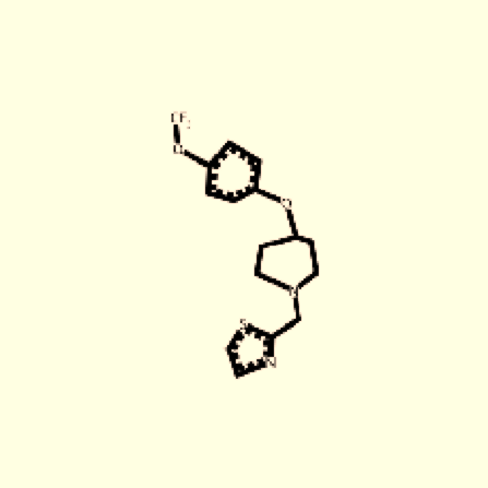 FC(F)(F)Oc1ccc(OC2CCN(Cc3nc[c]s3)CC2)cc1